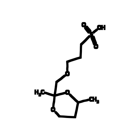 CC1CCOC(C)(COCCCS(=O)(=O)O)O1